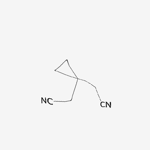 N#CCC1(CC#N)CC1